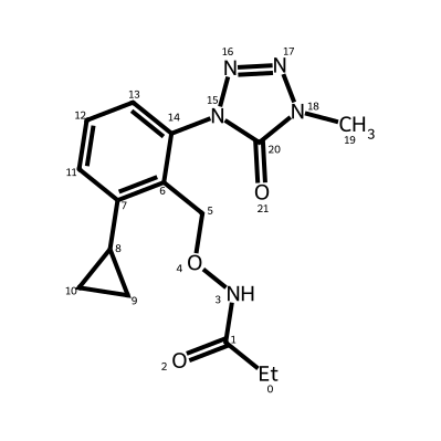 CCC(=O)NOCc1c(C2CC2)cccc1-n1nnn(C)c1=O